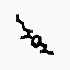 COCCNC(=O)c1ccc(OBO)cc1